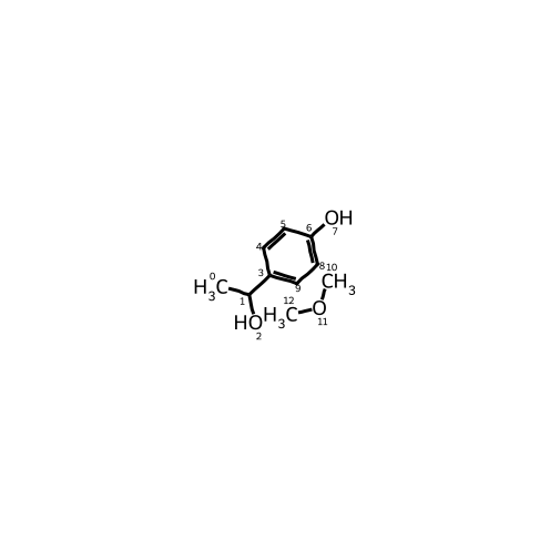 CC(O)c1ccc(O)cc1.COC